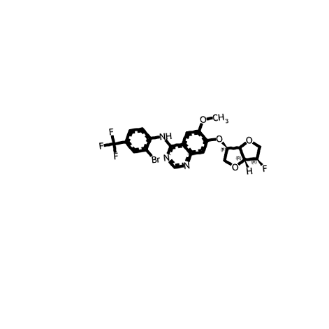 COc1cc2c(Nc3ccc(C(F)(F)F)cc3Br)ncnc2cc1O[C@@H]1CO[C@@H]2C1OC[C@H]2F